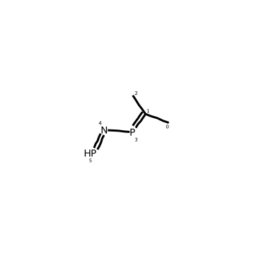 CC(C)=PN=P